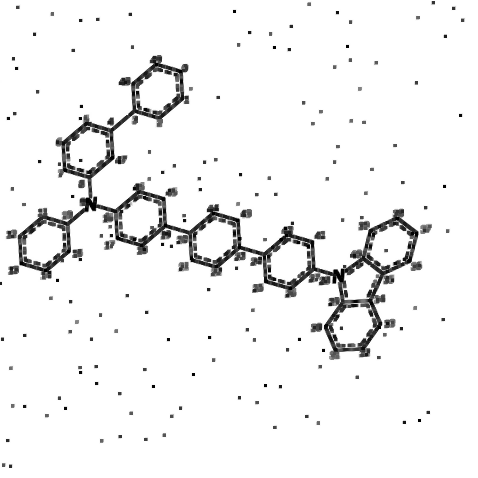 c1ccc(-c2cccc(N(c3ccccc3)c3ccc(-c4ccc(-c5ccc(-n6c7ccccc7c7ccccc76)cc5)cc4)cc3)c2)cc1